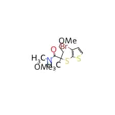 COCCC(C)(Sc1sccc1Br)C(=O)N(C)OC